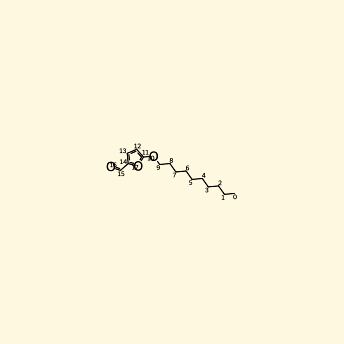 CCCCCCCCCCOc1ccc(C=O)o1